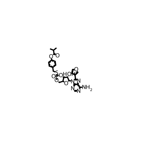 CC(C)C(=O)Oc1ccc(CSP2(=O)OCC3OC(n4c(-c5ccoc5)nc5c(N)ncnc54)[C@@H](O)[C@H]3O2)cc1